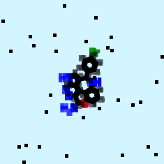 NC(=O)c1nnc2[nH]cc3c2c1-c1ccccc1NC3c1ccc(Br)cc1